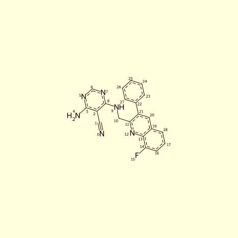 N#Cc1c(N)ncnc1NCc1nc2c(F)cccc2cc1-c1ccccc1